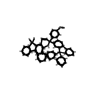 COc1ccc(C2(c3ccc4c(c3)C(c3ccccc3)(c3ccccc3)c3ccccc3-4)C=Cc3c4c(c5ccccc5c3O2)-c2ccccc2C4(C)C)cc1